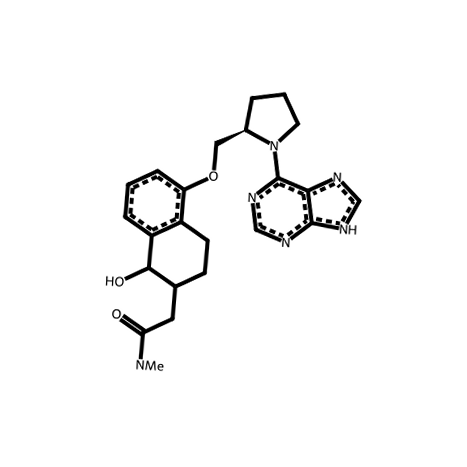 CNC(=O)CC1CCc2c(OC[C@H]3CCCN3c3ncnc4[nH]cnc34)cccc2C1O